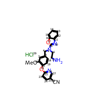 COc1cc(CN(CCN)c2nc3ccccc3o2)ccc1Oc1ccc(C#N)cn1.Cl